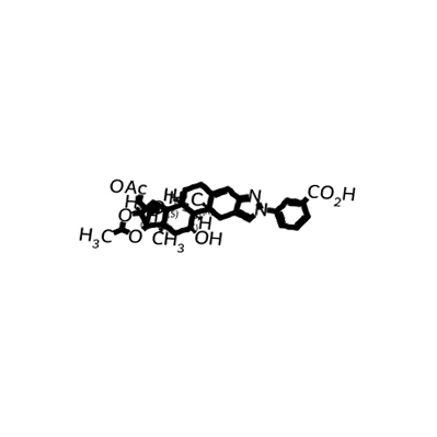 CC(=O)OCC(=O)[C@@]12OC(C)O[C@@H]1C[C@H]1[C@@H]3CCC4=Cc5nn(-c6cccc(C(=O)O)c6)cc5C[C@]4(C)[C@H]3[C@@H](O)C[C@@]12C